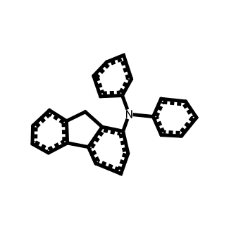 c1ccc(N(c2ccccc2)c2cccc3c2Cc2ccccc2-3)cc1